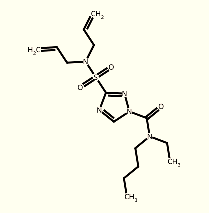 C=CCN(CC=C)S(=O)(=O)c1ncn(C(=O)N(CC)CCCC)n1